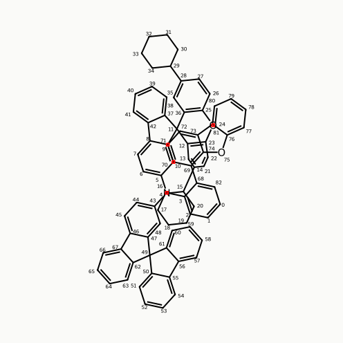 c1ccc(N(c2ccc3c(c2)C2(c4cc(C5CCCCC5)ccc4Oc4ccc(C5CCCCC5)cc42)c2ccccc2-3)c2ccc3c(c2)C2(c4ccccc4-c4ccccc42)c2ccccc2-3)c(-c2cccc3c2oc2ccccc23)c1